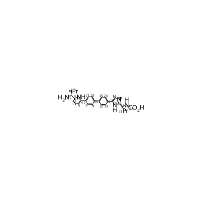 CC(C)[C@H](N)c1ncc(-c2ccc(-c3ccc(-c4cnc([C@@H](NC(=O)O)C(C)C)[nH]4)cc3)cc2)[nH]1